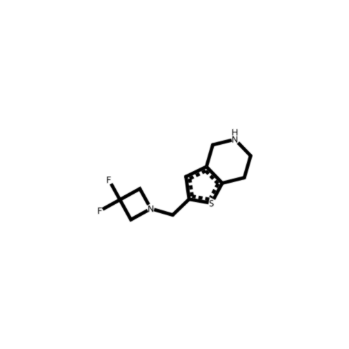 FC1(F)CN(Cc2cc3c(s2)CCNC3)C1